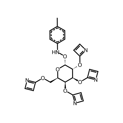 Cc1ccc(NO[C@H]2O[C@H](COC3=NC=C3)[C@H](OC3=NC=C3)[C@H](OC3=NC=C3)[C@H]2OC2=NC=C2)cc1